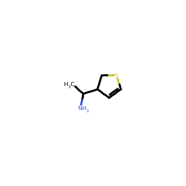 CC(N)C1C=CSC1